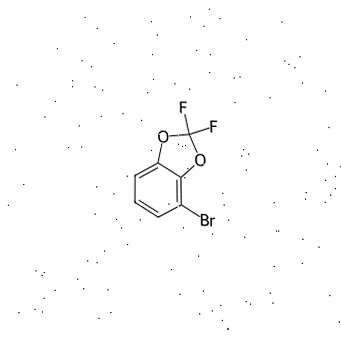 FC1(F)Oc2cccc(Br)c2O1